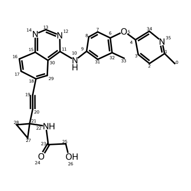 Cc1ccc(Oc2ccc(Nc3ncnc4ccc(C#CC5(NC(=O)CO)CC5)cc34)cc2C)cn1